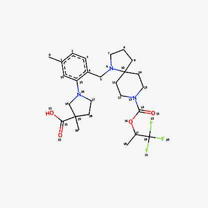 Cc1ccc(CN2CCCC23CCN(C(=O)OC(C)C(F)(F)F)CC3)c(N2CCC(C)(C(=O)O)C2)c1